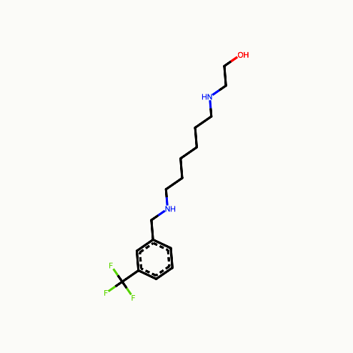 OCCNCCCCCCNCc1cccc(C(F)(F)F)c1